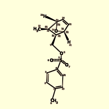 Cc1ccc(S(=O)(=O)OC[C@H]2[C@@H](C)[C@@H]3C=C[C@H]2O3)cc1